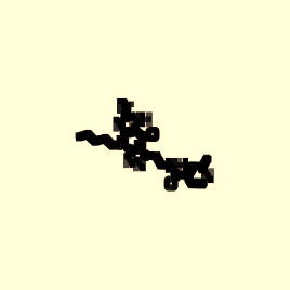 CCCCCn1c2nc(Br)[nH]c2c(=O)n2c(CCNC(=O)c3ccnc(C)c3)nnc12